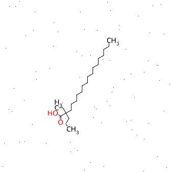 CCCCCCCCCCCCCCCCC(CC)(CCC)C(=O)O